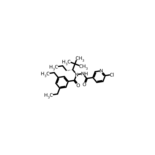 CCC[C@@H](N(NC(=O)c1ccc(Cl)nc1)C(=O)c1cc(CC)cc(CC)c1)C(C)(C)C